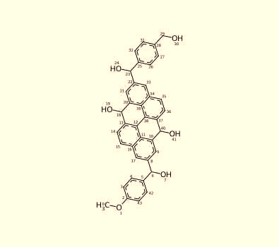 COc1ccc(C(O)c2cc3c4c5c(ccc4c2)C(O)c2cc(C(O)c4ccc(CO)cc4)cc4ccc(c-5c24)C3O)cc1